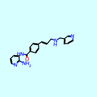 Nc1ncccc1NC(=O)c1ccc(C=CCNCc2cccnc2)cc1